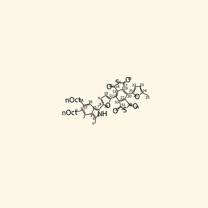 CCCCCCCCc1cc2c(C)[nH]c(-c3ccc(-c4c5c(=O)sc(=O)c5c(-c5ccc(C)o5)c5c(=O)sc(=O)c45)o3)c2cc1CCCCCCCC